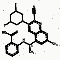 Cc1cc([C@@H](C)Nc2ccccc2C(=O)O)c2nc(N3CC(F)CC(F)C3)c(C#N)nc2c1